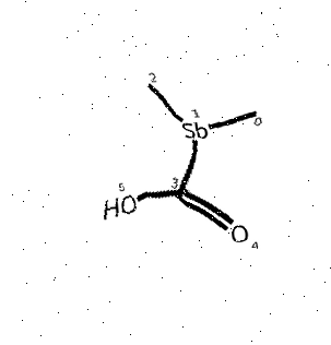 [CH3][Sb]([CH3])[C](=O)O